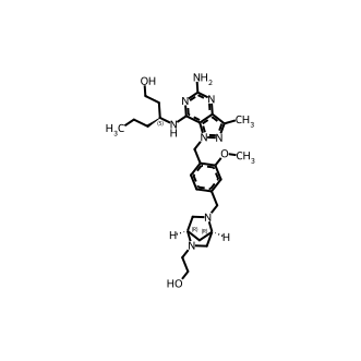 CCC[C@@H](CCO)Nc1nc(N)nc2c(C)nn(Cc3ccc(CN4C[C@H]5C[C@@H]4CN5CCO)cc3OC)c12